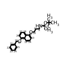 CC(C)(C)OC(=O)NCCCOc1cccc2c(OCc3ccccc3)cccc12